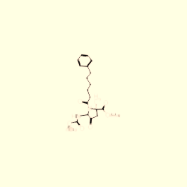 CCCCOC(=O)NC1C(=O)C[C@@](C)(C(=O)OC)N1C(=O)CCCCCc1ccccc1